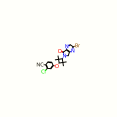 CC1(C)[C@H](Oc2ccc(C#N)c(Cl)c2)C(C)(C)[C@H]1N1Cc2nc(Br)cnc2C1=O